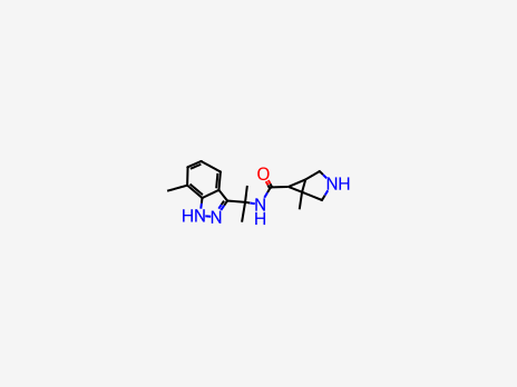 Cc1cccc2c(C(C)(C)NC(=O)C3C4CNCC43C)n[nH]c12